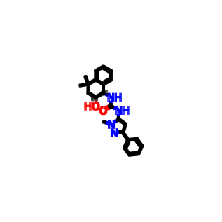 CN1N=C(c2ccccc2)CC1NC(=O)N[C@@H]1c2ccccc2C(C)(C)C[C@H]1O